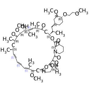 COCCO[C@@H]1CC[C@@H](CC(C)[C@@H]2CC(=O)[C@H](C)/C=C(\C)[C@@H](O)[C@@H](OC)C(=O)[C@H](C)C[C@H](C)/C=C/C=C/C=C(\C)[C@@H](OC)C[C@@H]3CC[C@@H](C)[C@@](O)(O3)C(=O)C(=O)N3CCCC[C@H]3C(=O)O2)C[C@H]1OC